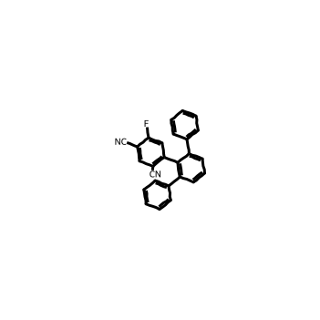 N#Cc1cc(C#N)c(-c2c(-c3ccccc3)cccc2-c2ccccc2)cc1F